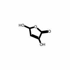 O=C1OC(O)C=C1O